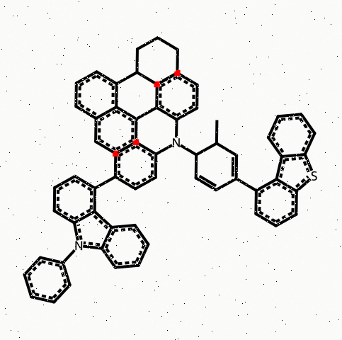 CC1C=C(c2cccc3sc4ccccc4c23)C=CC1N(c1ccc(-c2cccc3c2c2ccccc2n3-c2ccccc2)cc1)c1ccccc1-c1cccc2cccc(C3CCCCC3)c12